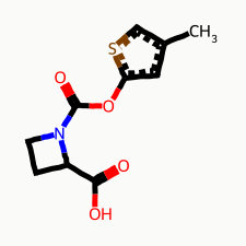 Cc1csc(OC(=O)N2CCC2C(=O)O)c1